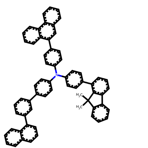 CC1(C)c2ccccc2-c2cccc(-c3ccc(N(c4ccc(-c5cccc(-c6cccc7ccccc67)c5)cc4)c4ccc(-c5cc6ccccc6c6ccccc56)cc4)cc3)c21